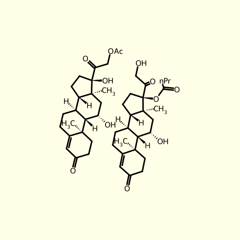 CC(=O)OCC(=O)[C@@]1(O)CC[C@H]2[C@@H]3CCC4=CC(=O)CC[C@]4(C)[C@H]3[C@@H](O)C[C@@]21C.CCCC(=O)O[C@]1(C(=O)CO)CC[C@H]2[C@@H]3CCC4=CC(=O)CC[C@]4(C)[C@H]3[C@@H](O)C[C@@]21C